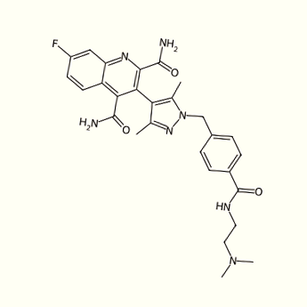 Cc1nn(Cc2ccc(C(=O)NCCN(C)C)cc2)c(C)c1-c1c(C(N)=O)nc2cc(F)ccc2c1C(N)=O